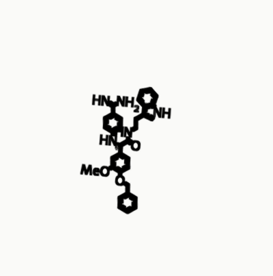 COc1cc([C@H](Nc2ccc(C(=N)N)cc2)C(=O)NCCc2c[nH]c3ccccc23)ccc1OCc1ccccc1